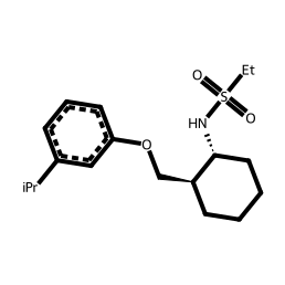 CCS(=O)(=O)N[C@@H]1CCCC[C@H]1COc1cccc(C(C)C)c1